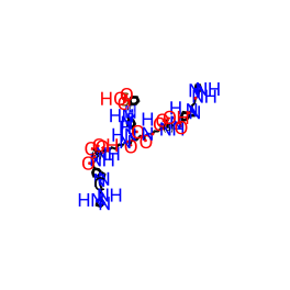 O=C(CCC(NC(=O)c1ccc(N/N=C/c2ccccc2S(=O)(=O)O)nc1)C(=O)NCCCCCC(=O)N[C@@H](CNC(=O)c1ccc2c(cnn2CCCNc2ncc[nH]2)c1)C(=O)O)NCCCC(=O)N[C@@H](CNC(=O)c1ccc2c(cnn2CCCNc2ncc[nH]2)c1)C(=O)O